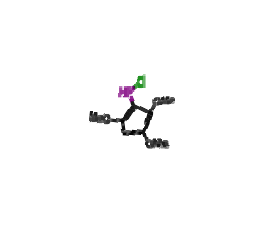 COc1cc(OC)c(PCl)c(OC)c1